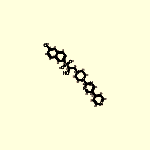 O=S(=O)(c1ccc2cc(Cl)ccc2c1)C(O)CN1CCN(c2ncc(-c3ccncc3)cn2)CC1